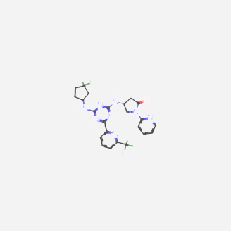 O=C1C[C@H](Nc2nc(NC3CCC(F)(F)C3)nc(-c3cccc(C(F)(F)F)n3)n2)CN1c1ccccn1